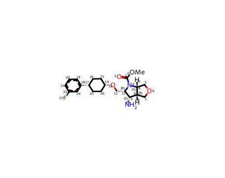 COC(=O)N1[C@@H]2COC[C@@H]2[C@H](N)[C@@H]1CO[C@H]1CC[C@@H](c2cccc(F)c2)CC1